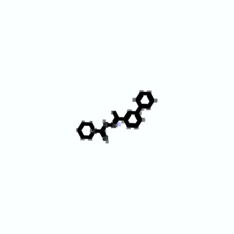 C/C(=N\OC(=O)N1CCCCC1)c1cccc(-c2ccccc2)c1